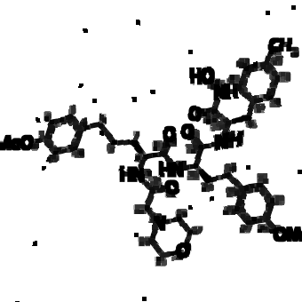 COc1ccc(CCC[C@H](NC(=O)CN2CCOCC2)C(=O)N[C@H](CCc2ccc(OC)cc2)C(=O)N[C@H](Cc2ccc(C)cc2)C(=O)NO)cc1